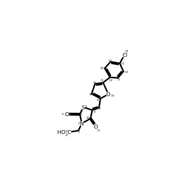 O=C(O)CN1C(=O)S/C(=C\c2ccc(-c3ccc(Cl)cc3)o2)C1=O